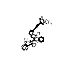 C[C@@H](NC(=O)c1nccnc1N)c1cc2ccc(C#Cc3cnn(C)c3)n2c(=O)n1-c1ccccc1